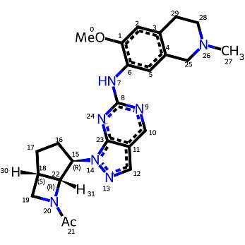 COc1cc2c(cc1Nc1ncc3cnn([C@@H]4CC[C@H]5CN(C(C)=O)[C@H]54)c3n1)CN(C)CC2